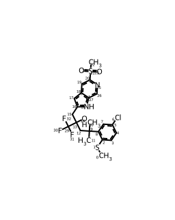 CSc1ccc(Cl)cc1C(C)(C)CC(O)(Cc1cc2cc(S(C)(=O)=O)ncc2[nH]1)C(F)(F)F